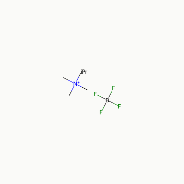 CC(C)[N+](C)(C)C.F[B-](F)(F)F